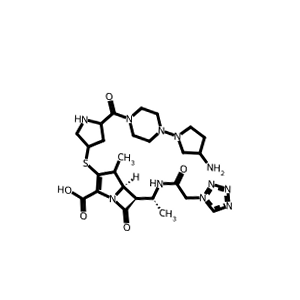 CC1C(SC2CNC(C(=O)N3CCN(N4CCC(N)C4)CC3)C2)=C(C(=O)O)N2C(=O)[C@H]([C@@H](C)NC(=O)Cn3cnnn3)[C@H]12